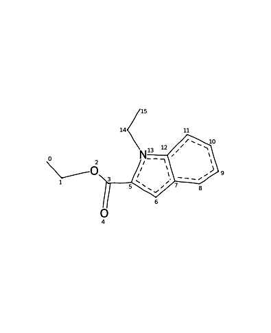 CCOC(=O)c1cc2ccccc2n1CC